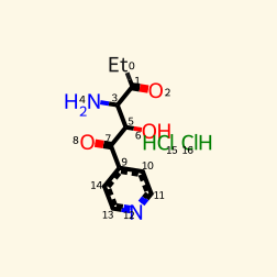 CCC(=O)C(N)C(O)C(=O)c1ccncc1.Cl.Cl